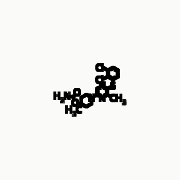 Cc1nc(N2CCC(C)(OC(N)=O)CC2)cnc1Sc1cccc(Cl)c1Cl